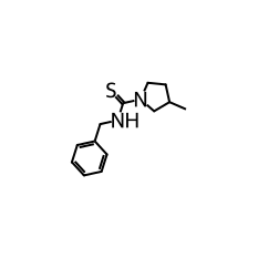 CC1CCN(C(=S)NCc2ccccc2)C1